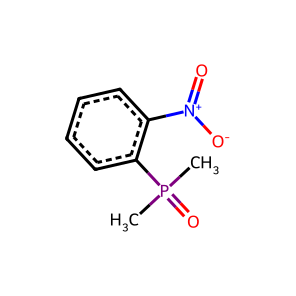 CP(C)(=O)c1ccccc1[N+](=O)[O-]